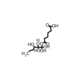 CCCC(O)C(O)(O)C(O)(O)OC(=O)CCCCC(=O)O